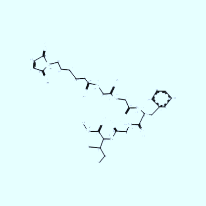 CCC(C)C(NC(=O)CNC(=O)[C@H](Cc1ccccc1)NC(=O)CNC(=O)CNC(=O)CCCCCN1C(=O)C=CC1=O)C(=O)NC